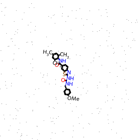 COc1ccc(CNC(=O)Nc2nc3ccc(C(=O)Nc4c(C)cc(C)cc4C)cc3s2)cc1